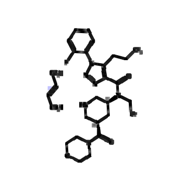 CC(C)CN(C(=O)c1nnn(-c2ccccc2F)c1CCC(F)(F)F)[C@@H]1CNC[C@H](C(=O)N2CCOCC2)C1.O=C(O)/C=C/C(=O)O